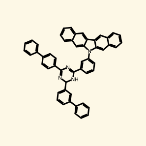 c1ccc(-c2ccc(C3=NC(c4cccc(-c5ccccc5)c4)NC(c4cccc(-n5c6cc7ccccc7cc6c6cc7ccccc7cc65)c4)=N3)cc2)cc1